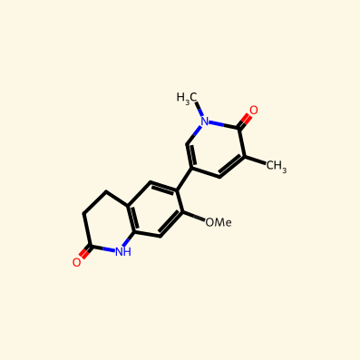 COc1cc2c(cc1-c1cc(C)c(=O)n(C)c1)CCC(=O)N2